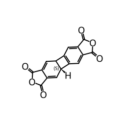 O=C1OC(=O)C2=C[C@H]3c4cc5c(cc4C3C=C12)C(=O)OC5=O